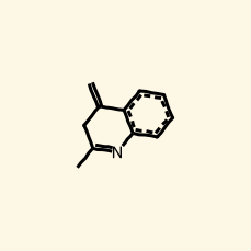 C=C1CC(C)=Nc2ccccc21